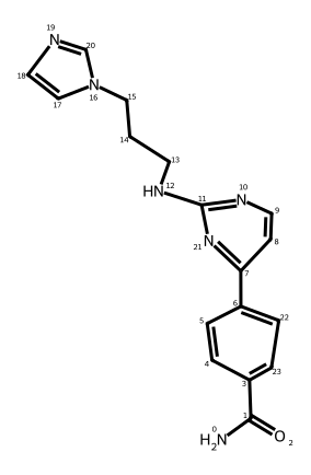 NC(=O)c1ccc(-c2ccnc(NCCCn3ccnc3)n2)cc1